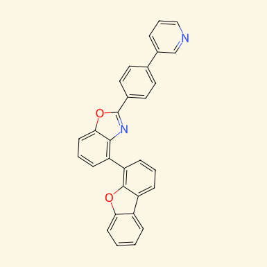 c1cncc(-c2ccc(-c3nc4c(-c5cccc6c5oc5ccccc56)cccc4o3)cc2)c1